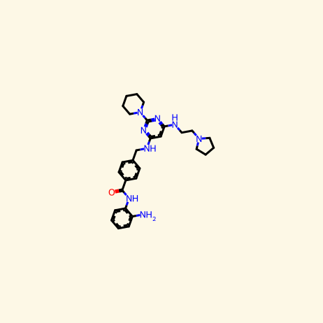 Nc1ccccc1NC(=O)c1ccc(CNc2cc(NCCN3CCCC3)nc(N3CCCCC3)n2)cc1